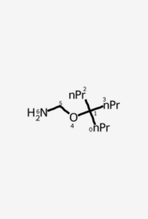 CCCC(CCC)(CCC)OCN